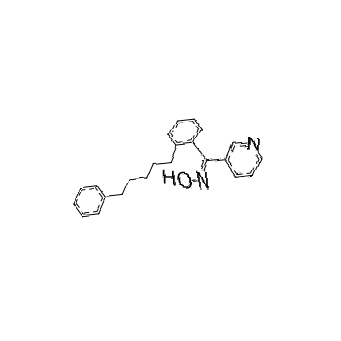 ON=C(c1cccnc1)c1ccccc1CCCCCc1ccccc1